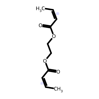 C/C=C\C(=O)OCCOC(=O)/C=C\C